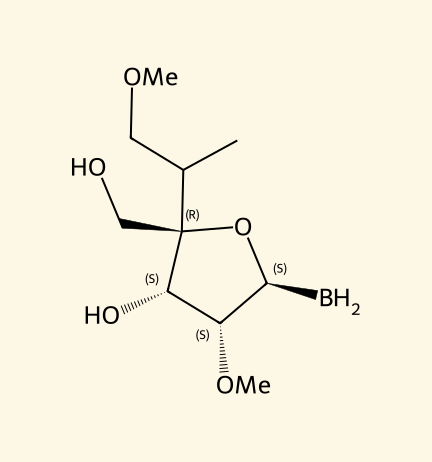 B[C@@H]1O[C@@](CO)(C(C)COC)[C@@H](O)[C@H]1OC